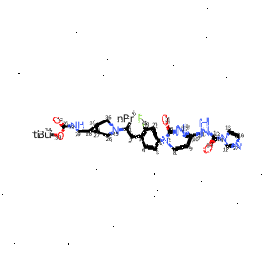 CCCC(Cc1ccc(-n2ccc(NC(=O)n3ccnc3)nc2=O)cc1F)N1CC2C(CNC(=O)OC(C)(C)C)C2C1